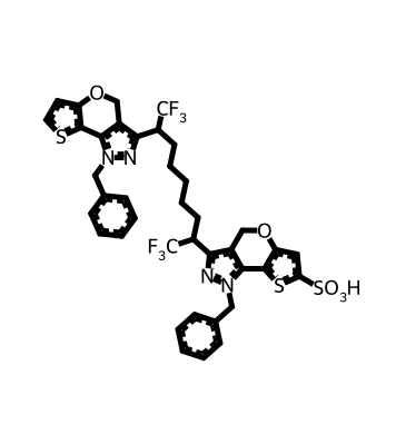 O=S(=O)(O)c1cc2c(s1)-c1c(c(C(CCCCCC(c3nn(Cc4ccccc4)c4c3COc3ccsc3-4)C(F)(F)F)C(F)(F)F)nn1Cc1ccccc1)CO2